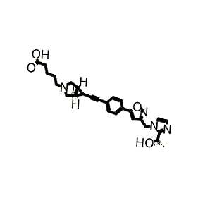 C[C@H](O)c1nccn1Cc1cc(-c2ccc(C#CC3[C@H]4CN(CCCCC(=O)O)C[C@@H]34)cc2)on1